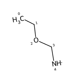 CCOC[NH]